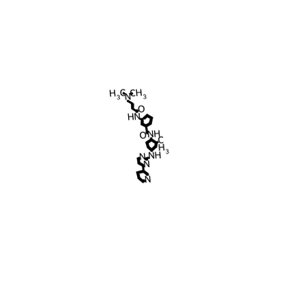 Cc1cc(Nc2nccc(-c3cccnc3)n2)ccc1NC(=O)c1cccc(NC(=O)/C=C/CN(C)C)c1